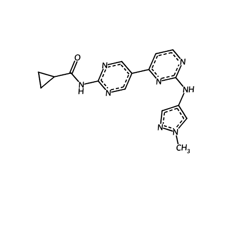 Cn1cc(Nc2nccc(-c3cnc(NC(=O)C4CC4)nc3)n2)cn1